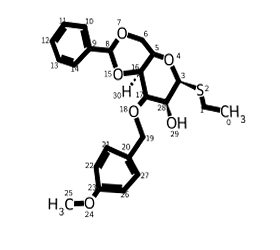 CCS[C@@H]1OC2COC(c3ccccc3)O[C@@H]2C(OCc2ccc(OC)cc2)[C@@H]1O